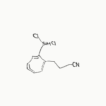 N#CCCc1ccccc1[SiH](Cl)Cl